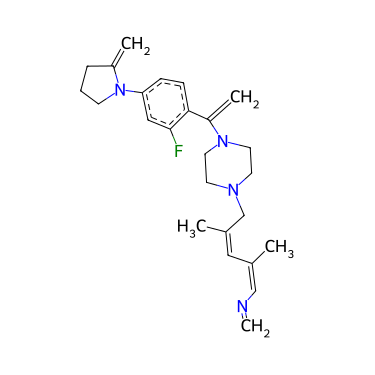 C=N/C=C(C)\C=C(\C)CN1CCN(C(=C)c2ccc(N3CCCC3=C)cc2F)CC1